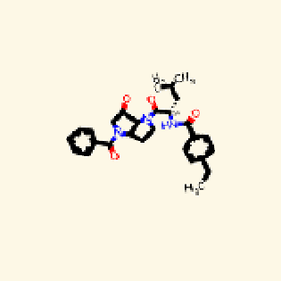 CCc1ccc(C(=O)N[C@@H](CC(C)C)C(=O)N2CCC3C2C(=O)CN3C(=O)c2ccccc2)cc1